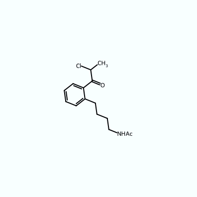 CC(=O)NCCCCc1ccccc1C(=O)C(C)Cl